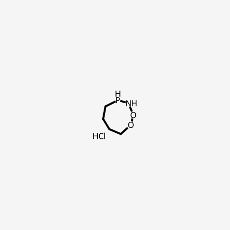 C1CCPNOOC1.Cl